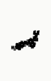 CCN(CC)CCNc1ccc(N=Nc2ccc(S(N)(=O)=O)cc2)c2ccccc12